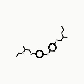 CCSC(C)CSc1ccc(Sc2ccc(SCC(C)SCC)cc2)cc1